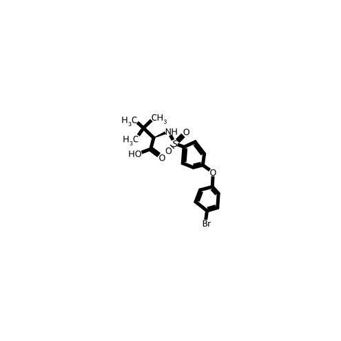 CC(C)(C)[C@@H](NS(=O)(=O)c1ccc(Oc2ccc(Br)cc2)cc1)C(=O)O